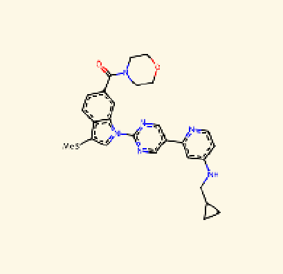 CSc1cn(-c2ncc(-c3cc(NCC4CC4)ccn3)cn2)c2cc(C(=O)N3CCOCC3)ccc12